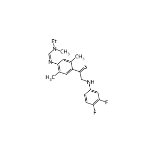 CCN(C)/C=N\c1cc(C)c(C(=S)CNc2ccc(F)c(F)c2)cc1C